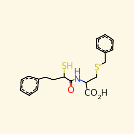 O=C(NC(CSCc1ccccc1)C(=O)O)C(S)CCc1ccccc1